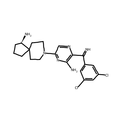 N=C(c1cc(Cl)cc(Cl)c1)c1ncc(N2CCC3(CCC[C@H]3N)CC2)nc1N